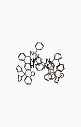 c1ccc(C2=NC(c3ccccc3-c3ccc4c(c3)C3(c5ccccc5O4)c4ccccc4-c4ccccc43)NC(c3cccc(-c4cccc5c4-c4ccccc4C54c5ccccc5Oc5ccc(-c6ccccc6-c6nc(-c7ccccc7)nc(-c7ccccc7-c7ccccc7)n6)cc54)c3)=N2)cc1